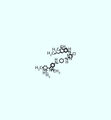 C=CCCC1=Cc2cc(Nc3nc(NC[C@H]4CC[C@@H](CNc5ccc6c(C7CCC(=C)NC7=C)nn(C)c6c5)CC4)ncc3Cl)ccc2N(C)C1=C